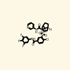 O=C(Nc1cccnc1)N[C@@H]1C2CC[C@H]1C[C@H](S(=O)(=O)c1cc(C(=O)Nc3cc(F)c(F)c(F)c3)ccc1Cl)C2